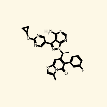 Cc1csc2cc([C@H](C)n3nc(-c4cnc(OC5CC5)nc4)c4c(N)ncnc43)c(-c3cccc(F)c3)c(=O)n12